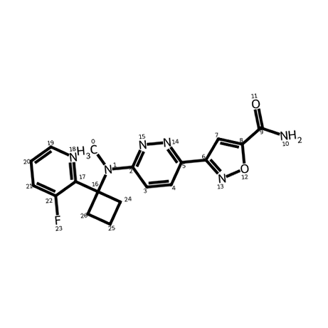 CN(c1ccc(-c2cc(C(N)=O)on2)nn1)C1(c2ncccc2F)CCC1